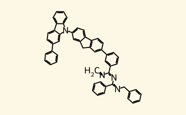 C=N/C(=N\C(=N/Cc1ccccc1)c1ccccc1)c1cccc(-c2ccc3c(c2)Cc2cc(-n4c5ccccc5c5ccc(-c6ccccc6)cc54)ccc2-3)c1